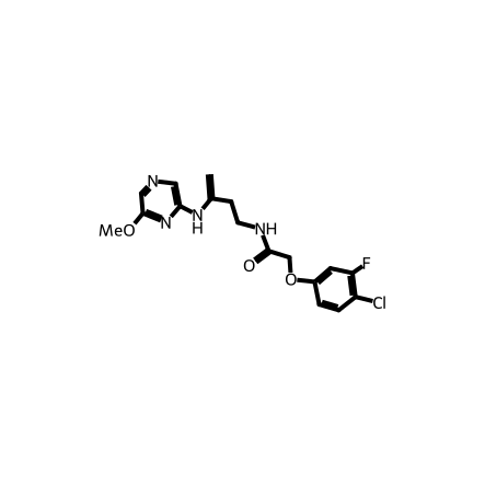 C=C(CCNC(=O)COc1ccc(Cl)c(F)c1)Nc1cncc(OC)n1